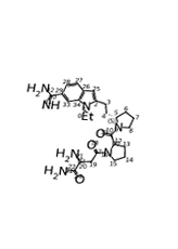 CCn1c(CC[C@@H]2CCCN2C(=O)[C@H]2CCCN2C(=O)C[C@H](N)C(N)=O)cc2ccc(C(=N)N)cc21